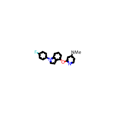 CNc1ccnc(Oc2cccc3c2ccn3-c2ccc(F)cc2)c1